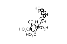 O=C(O)CN1CCN(CC(=O)O)CCN(C(CCCNC(=O)Cc2cc(I)c(Oc3ccc(O)c(I)c3)c(I)c2)C(=O)O)CCN(CC(=O)O)CC1